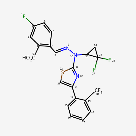 O=C(O)c1cc(F)ccc1/C=N/N(c1nc(-c2ccccc2C(F)(F)F)cs1)C1CC1(F)F